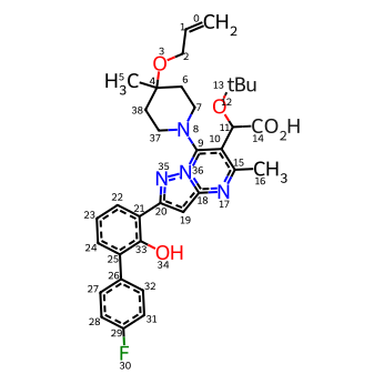 C=CCOC1(C)CCN(c2c(C(OC(C)(C)C)C(=O)O)c(C)nc3cc(-c4cccc(-c5ccc(F)cc5)c4O)nn23)CC1